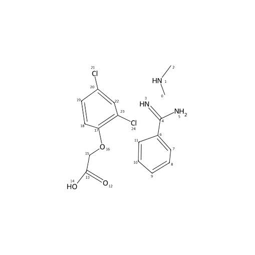 CNC.N=C(N)c1ccccc1.O=C(O)COc1ccc(Cl)cc1Cl